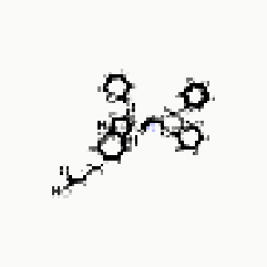 O=C(O)CSC[C@H]1CC[C@@H]2[C@@H](/C=C/[C@H](COc3ccccc3)OC3CCCCO3)[C@H](OC3CCCCO3)C[C@@H]2OC1